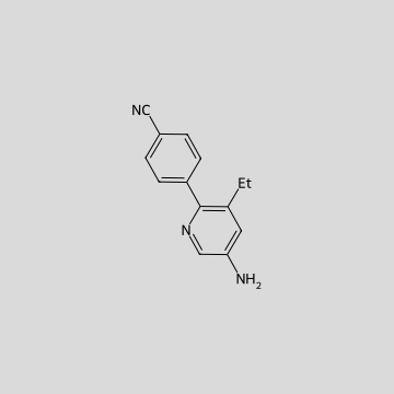 CCc1cc(N)cnc1-c1ccc(C#N)cc1